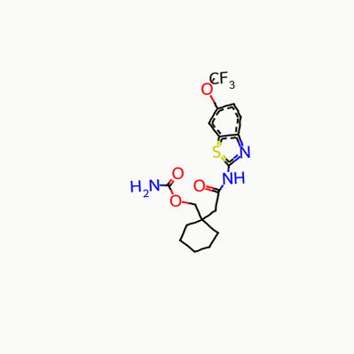 NC(=O)OCC1(CC(=O)Nc2nc3ccc(OC(F)(F)F)cc3s2)CCCCC1